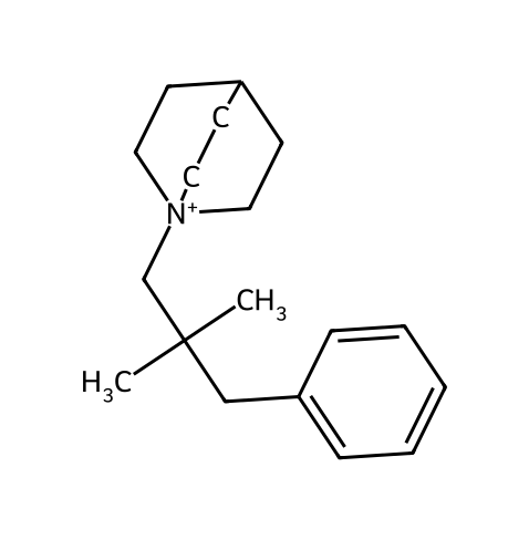 CC(C)(Cc1ccccc1)C[N+]12CCC(CC1)CC2